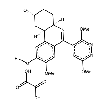 CCOc1cc2c(cc1OC)C(c1cc(OC)nnc1OC)=N[C@@H]1CC[C@@H](O)C[C@H]21.O=C(O)C(=O)O